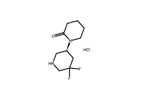 Cl.O=C1CCCCN1[C@@H]1CNCC(F)(F)C1